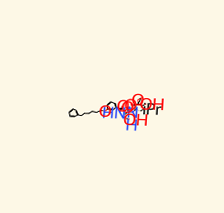 CC(C)C[C@H](NC(=O)[C@H](CO)NC(=O)c1cccc(OCCCCCCc2ccccc2)c1)C(=O)C1(CO)CO1